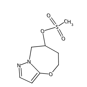 CS(=O)(=O)OC1CCOc2ccnn2C1